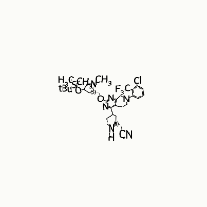 CN1CC(O[Si](C)(C)C(C)(C)C)C[C@H]1COc1nc2c(c(C3CCN[C@@H](CC#N)C3)n1)CCN(c1cccc(Cl)c1C(F)(F)F)C2